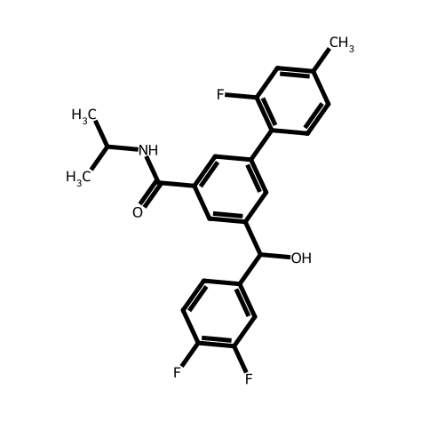 Cc1ccc(-c2cc(C(=O)NC(C)C)cc(C(O)c3ccc(F)c(F)c3)c2)c(F)c1